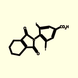 O=C(O)c1cc(I)c(N2C(=O)C3=C(CCCC3)C2=O)c(I)c1